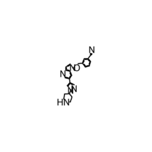 N#Cc1cccc(COn2ccc3ncc(-c4cnn(C5CCNCC5)c4)cc32)c1